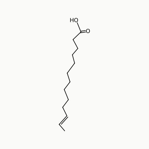 CC=CCCCCCCCCCC(=O)O